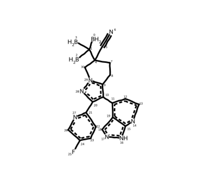 BC(B)(B)C1(C#N)CCc2c(-c3ccnc4[nH]ncc34)c(-c3ccc(F)cn3)nn2C1